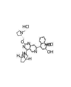 CN1CCC[C@H]1COc1nc(N2C[C@H]3CC[C@@H](C2)N3)c2cnc(-c3cc(O)cc4ccccc34)cc2n1.Cl.Cl.Cl